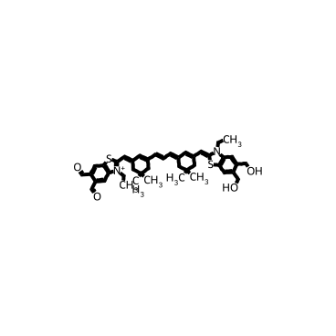 CCN1/C(=C/C2=CC(=C/C=C/C3=CC(=C/c4sc5cc(C=O)c(C=O)cc5[n+]4CC)/CC(C)(C)C3)/CC(C)(C)C2)Sc2cc(CO)c(CO)cc21